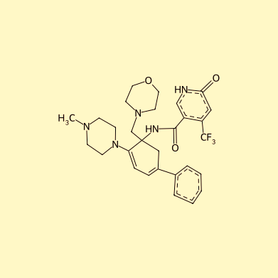 CN1CCN(C2=CC=C(c3ccccc3)CC2(CN2CCOCC2)NC(=O)c2c[nH]c(=O)cc2C(F)(F)F)CC1